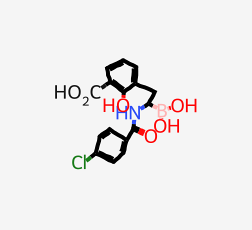 O=C(NC(Cc1cccc(C(=O)O)c1O)B(O)O)c1ccc(Cl)cc1